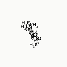 CCOC(=O)C1CCC2(CCN(C(=O)OC(C)(C)C)C2)C1=O